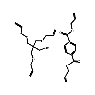 C=CCOC(=O)c1ccc(C(=O)OCC=C)cc1.C=CCOCC(CO)(COCC=C)COCC=C